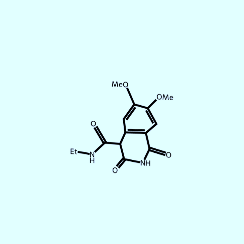 CCNC(=O)C1C(=O)NC(=O)c2cc(OC)c(OC)cc21